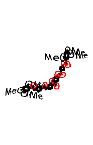 COc1cc(OC)c(C(=O)Cc2ccc(C(=O)Cc3ccc4c(=O)c5ccc(OC(=O)c6ccc(OC(=O)c7cc(OC)c(OC)cc7OC)cc6)cc5oc4c3)cc2)cc1OC